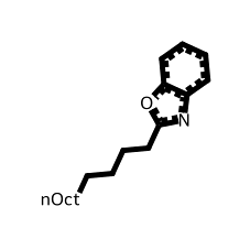 CCCCCCCCCCCCc1nc2ccccc2o1